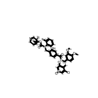 COc1ccc([C@H](Cc2c(Cl)c[n+]([O-])cc2Cl)OC(=O)c2ccc(CN(C(=O)O[C@H]3CN4CCC3CC4)c3c(O)cccc3F)cc2)cc1OC